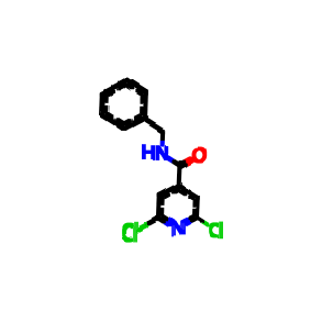 O=C(NCc1ccccc1)c1cc(Cl)nc(Cl)c1